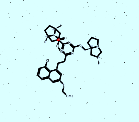 COCOc1cc(CCc2nc(OC[C@@]34CCCN3C[C@H](F)C4)nc(N3C[C@H]4CC[C@@H](C3)N4C(=O)OC(C)(C)C)n2)c2c(Cl)cccc2c1